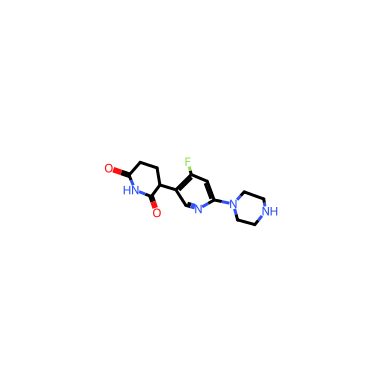 O=C1CCC(c2cnc(N3CCNCC3)cc2F)C(=O)N1